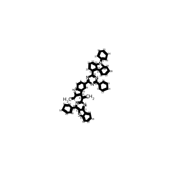 C=Cc1sc2ccc(-c3nc(-c4ccccc4)nc(-c4cccc5c4c4ccccc4n5-c4ccccc4)n3)cc2c1C(=C)c1nc(-c2ccccc2)c2sc3ccccc3c2n1